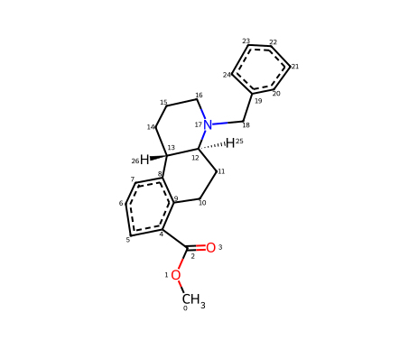 COC(=O)c1cccc2c1CC[C@H]1[C@H]2CCCN1Cc1ccccc1